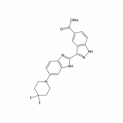 COC(=O)c1ccc2[nH]nc(-c3nc4ccc(N5CCC(F)(F)CC5)cc4[nH]3)c2c1